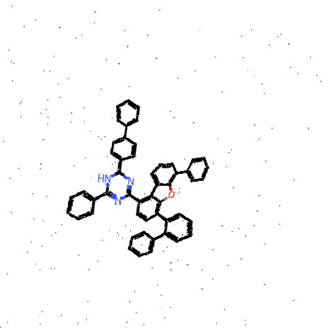 c1ccc(C2=NC(c3ccc(-c4ccccc4-c4ccccc4)c4oc5c(-c6ccccc6)cccc5c34)=NC(c3ccc(-c4ccccc4)cc3)N2)cc1